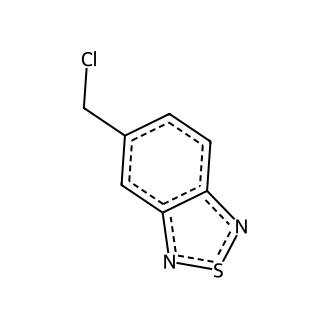 ClCc1ccc2nsnc2c1